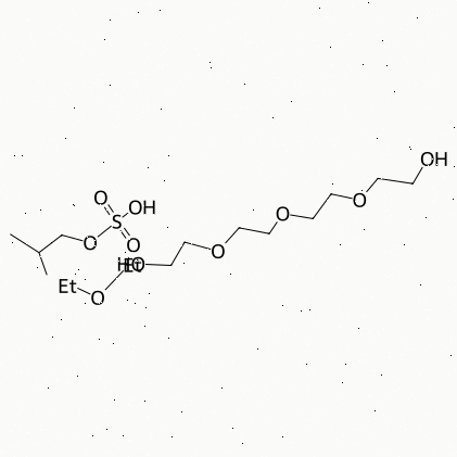 CC(C)COS(=O)(=O)O.CCOCC.OCCOCCOCCOCCO